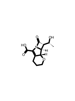 C[C@@H](O)[C@H]1C(=O)N2C(C(=O)O)=C3CCCO[C@H]3[C@H]12